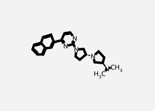 CN(C)[C@@H]1CCN([C@@H]2CCN(c3nccc(-c4ccc5ccccc5c4)n3)C2)C1